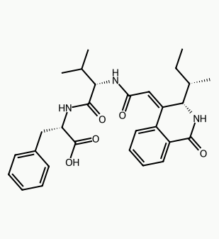 CC[C@H](C)[C@@H]1NC(=O)c2ccccc2C1=CC(=O)N[C@H](C(=O)N[C@@H](Cc1ccccc1)C(=O)O)C(C)C